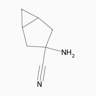 N#CC1(N)CC2CC2C1